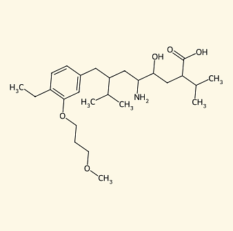 CCc1ccc(CC(CC(N)C(O)CC(C(=O)O)C(C)C)C(C)C)cc1OCCCOC